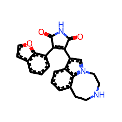 O=C1NC(=O)C(c2cccc3ccoc23)=C1c1cn2c3c(cccc13)CCNCC2